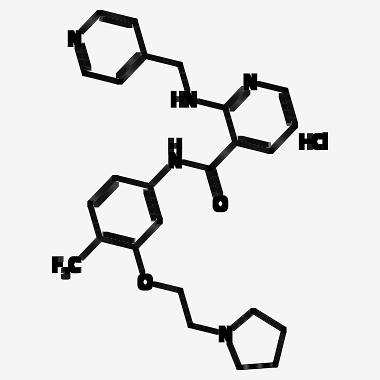 Cl.O=C(Nc1ccc(C(F)(F)F)c(OCCN2CCCC2)c1)c1cccnc1NCc1ccncc1